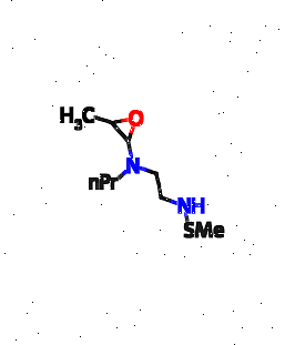 CCCN(CCNSC)C1OC1C